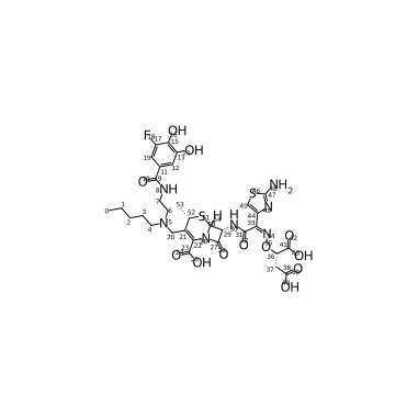 CCCCCN(CCNC(=O)c1cc(O)c(O)c(F)c1)CC1=C(C(=O)O)N2C(=O)[C@@H](NC(=O)/C(=N\O[C@@H](CC(=O)O)C(=O)O)c3csc(N)n3)[C@H]2S[C@H]1C